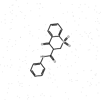 O=C(Nc1ccccc1)C1CS(=O)(=O)c2ccccc2C1=O